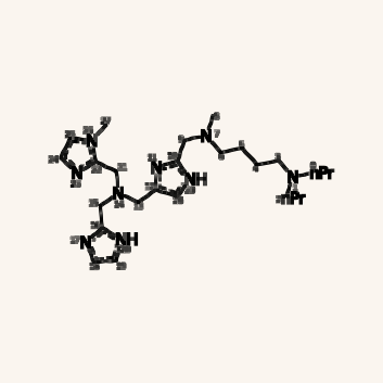 CCCN(CCC)CCCCN(C)Cc1nc(CN(Cc2ncc[nH]2)Cc2nccn2C)c[nH]1